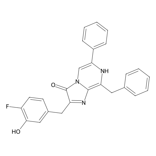 O=c1c(Cc2ccc(F)c(O)c2)nc2c(Cc3ccccc3)[nH]c(-c3ccccc3)cn1-2